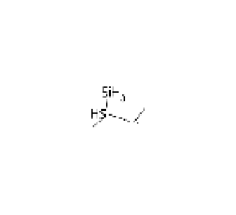 C[CH][SiH](C)[SiH3]